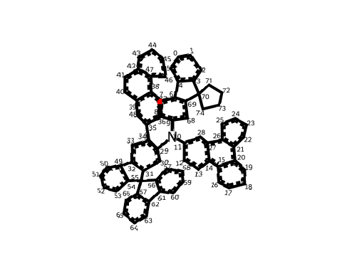 c1ccc2c(c1)-c1ccc(N(c3ccc4c5ccccc5c5ccccc5c4c3)c3cc4c(cc3-c3ccc5c(ccc6ccccc65)c3)-c3ccccc3C43c4ccccc4-c4ccccc43)cc1C21CCCC1